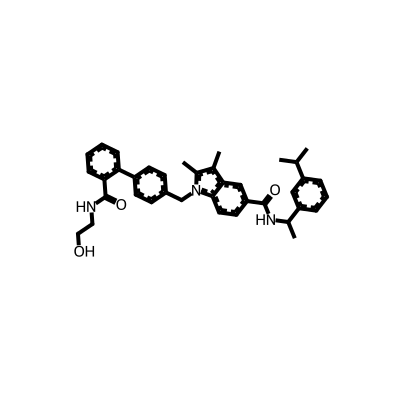 Cc1c(C)n(Cc2ccc(-c3ccccc3C(=O)NCCO)cc2)c2ccc(C(=O)NC(C)c3cccc(C(C)C)c3)cc12